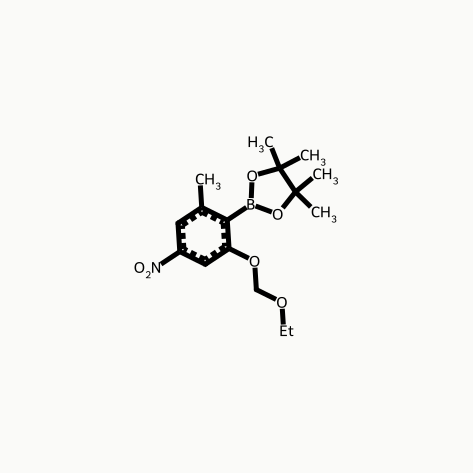 CCOCOc1cc([N+](=O)[O-])cc(C)c1B1OC(C)(C)C(C)(C)O1